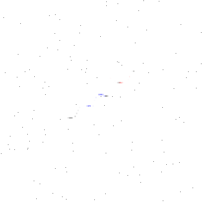 CCCCNN=CC(=O)OCC